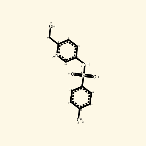 O=S(=O)(Nc1ccc(CO)nc1)c1ccc(C(F)(F)F)cc1